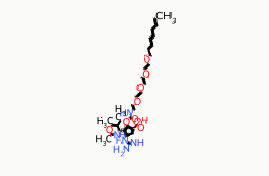 CCCCCCCCCOCCOCCOCCOCCNC(=O)O[C@H]1[C@@H]([C@H](NC(C)=O)C(CC)CC)[C@H](NC(=N)N)C[C@@H]1C(=O)O